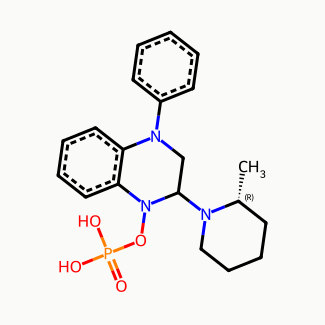 C[C@@H]1CCCCN1C1CN(c2ccccc2)c2ccccc2N1OP(=O)(O)O